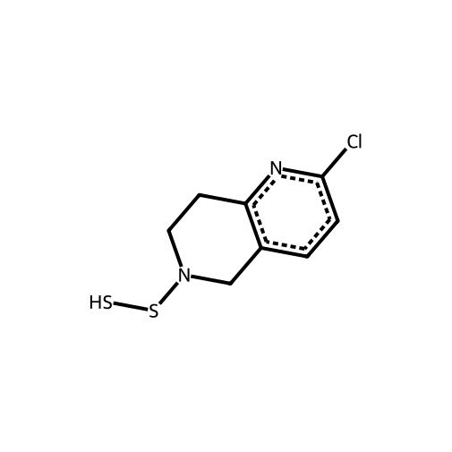 SSN1CCc2nc(Cl)ccc2C1